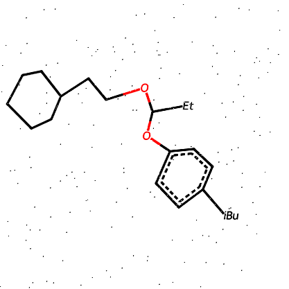 CCC(OCCC1CCCCC1)Oc1ccc(C(C)CC)cc1